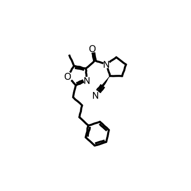 Cc1oc(CCCc2ccccc2)nc1C(=O)N1CCC[C@H]1C#N